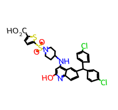 O=C(O)c1ccc(S(=O)(=O)N2CCC(Nc3cc(O)nc4ccc(C(c5ccc(Cl)cc5)c5ccc(Cl)cc5)cc34)CC2)s1